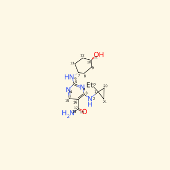 CCC1(Nc2nc(N[C@H]3CC[C@H](O)CC3)ncc2C(N)=O)CC1